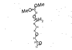 COC(CO[SiH2]CCCOCC1CO1)OC